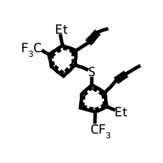 CC#Cc1c(Sc2ccc(C(F)(F)F)c(CC)c2C#CC)ccc(C(F)(F)F)c1CC